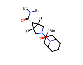 CCN(CC)C(=O)[C@@H]1[C@@H]2CN(C3CC4CCCC(C3)N4C(=O)OC)C[C@@H]21